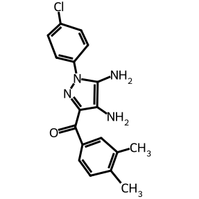 Cc1ccc(C(=O)c2nn(-c3ccc(Cl)cc3)c(N)c2N)cc1C